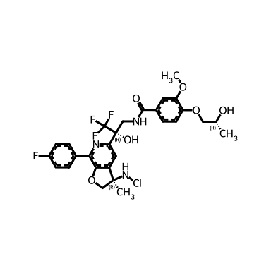 COc1cc(C(=O)NC[C@@](O)(c2cc3c(c(-c4ccc(F)cc4)n2)OC[C@]3(C)NCl)C(F)(F)F)ccc1OC[C@@H](C)O